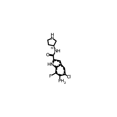 O=C(N[C@H]1CCNC1)c1cc2cc(Cl)c(P)c(F)c2[nH]1